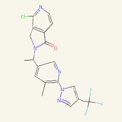 Cc1cc(C(C)N2Cc3c(ccnc3Cl)C2=O)cnc1-n1cc(C(F)(F)F)cn1